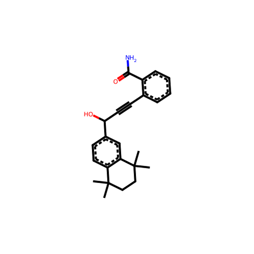 CC1(C)CCC(C)(C)c2cc(C(O)C#Cc3ccccc3C(N)=O)ccc21